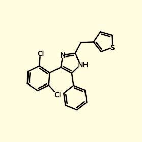 Clc1cccc(Cl)c1-c1nc(Cc2ccsc2)[nH]c1-c1ccccc1